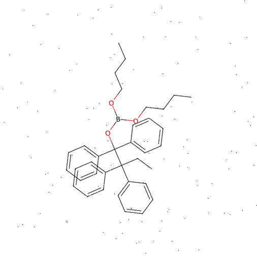 CCCCOB(OCCCC)OC(c1ccccc1)(c1ccccc1)C(CC)(c1ccccc1)c1ccccc1